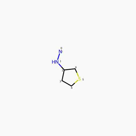 [N]NC1CCSC1